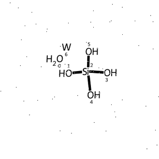 O.O[Si](O)(O)O.[W]